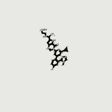 COCCNC(c1cc2ncn(-c3cc(-c4ccc(F)cc4-c4nncn4C)cc(C4CC4)n3)c(=O)c2[nH]1)C(F)(F)F